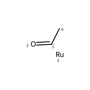 C[C]=O.[Ru]